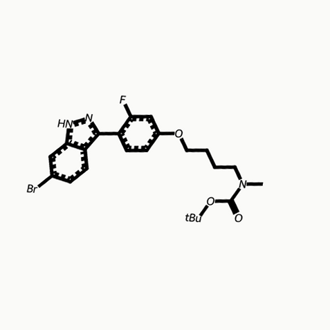 CN(CCCCOc1ccc(-c2n[nH]c3cc(Br)ccc23)c(F)c1)C(=O)OC(C)(C)C